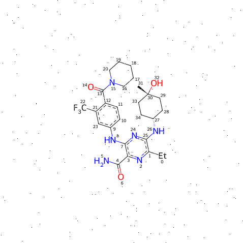 CCc1nc(C(N)=O)c(Nc2ccc(C(=O)N3CCCCC3)c(C(F)(F)F)c2)nc1N[C@H]1CC[C@@](C)(O)CC1